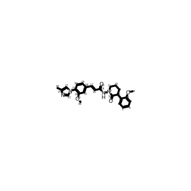 COc1ccccc1C1CCCN(NC(=O)/C=C/c2ccc(-n3cnc(C)c3)c(OC)c2)C1=O